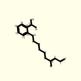 CCCC(C)CCCCCCc1ccccc1C(C)C